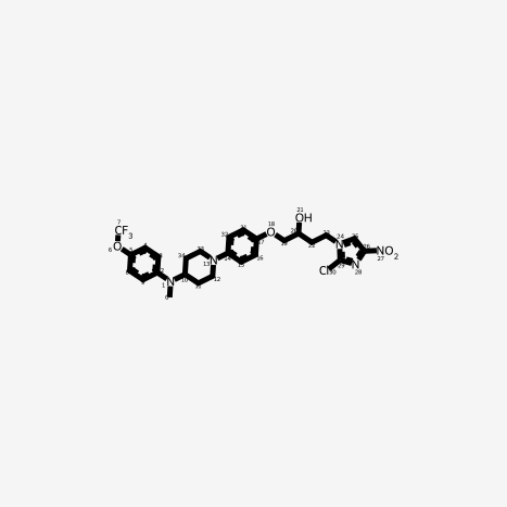 CN(c1ccc(OC(F)(F)F)cc1)C1CCN(c2ccc(OCC(O)CCn3cc([N+](=O)[O-])nc3Cl)cc2)CC1